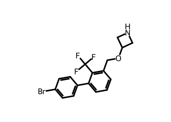 FC(F)(F)c1c(COC2CNC2)cccc1-c1ccc(Br)cc1